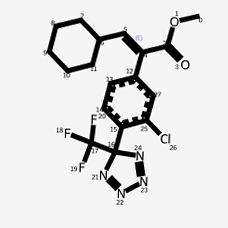 COC(=O)/C(=C/C1CCCCC1)c1ccc(C2(C(F)(F)F)N=NN=N2)c(Cl)c1